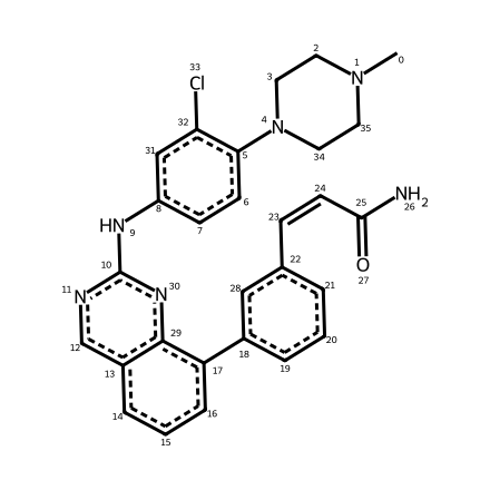 CN1CCN(c2ccc(Nc3ncc4cccc(-c5cccc(C=CC(N)=O)c5)c4n3)cc2Cl)CC1